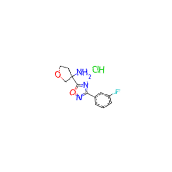 Cl.NC1(c2nc(-c3cccc(F)c3)no2)CCOC1